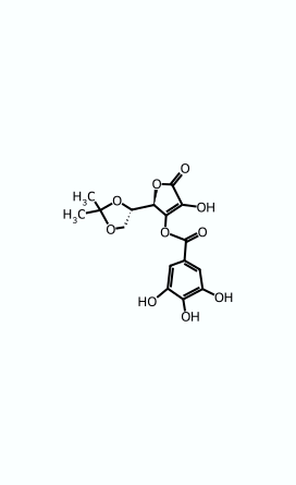 CC1(C)OC[C@@H]([C@H]2OC(=O)C(O)=C2OC(=O)c2cc(O)c(O)c(O)c2)O1